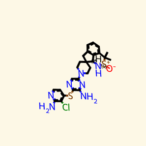 CC1(C)c2cccc3c2[C@@H](N[S@+]1[O-])C1(CCN(c2cnc(Sc4ccnc(N)c4Cl)c(N)n2)CC1)C3